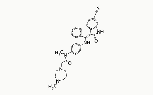 CN1CCCN(CC(=O)N(C)c2ccc(N/C(=C3\C(=O)Nc4cc(C#N)ccc43)c3ccccc3)cc2)CC1